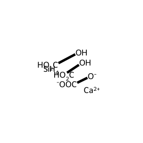 O=C(O)O.O=C(O)O.O=C([O-])[O-].[Ca+2].[SiH4]